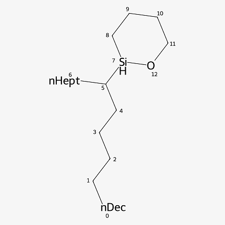 CCCCCCCCCCCCCCC(CCCCCCC)[SiH]1CCCCO1